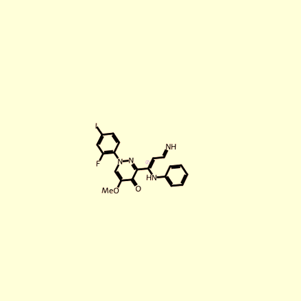 COc1cn(-c2ccc(I)cc2F)nc(/C(=C/C=N)Nc2ccccc2)c1=O